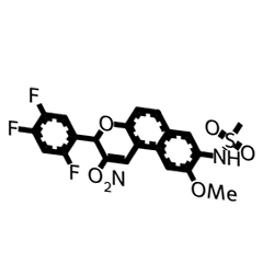 COc1cc2c3c(ccc2cc1NS(C)(=O)=O)OC(c1cc(F)c(F)cc1F)C([N+](=O)[O-])=C3